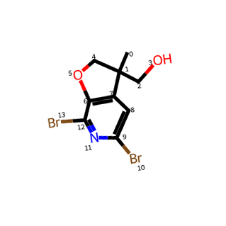 CC1(CO)COc2c1cc(Br)nc2Br